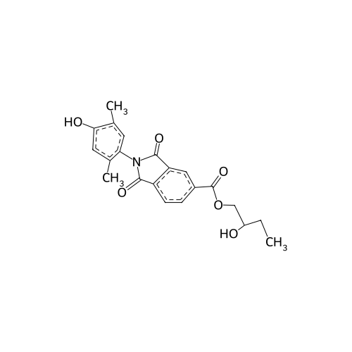 CCC(O)COC(=O)c1ccc2c(c1)C(=O)N(c1cc(C)c(O)cc1C)C2=O